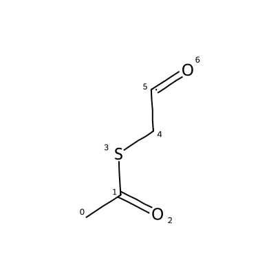 CC(=O)SC[C]=O